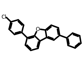 Clc1ccc(-c2cccc3c2oc2ccc(-c4ccccc4)cc23)cc1